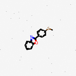 CSc1ccc(-c2nc3ccccc3o2)cc1